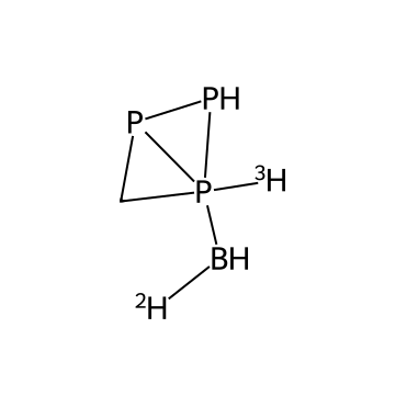 [2H]BP12([3H])CP1P2